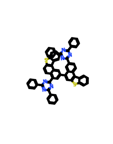 c1ccc(-c2nc(-c3ccccc3)nc(-c3ccc4c(c3)c(-c3cc(-c5nc(-c6ccccc6)nc(-c6ccccc6)n5)c5ccc6sc7ccccc7c6c5c3)cc3sc5ccccc5c34)n2)cc1